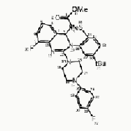 COC(=O)CC1c2cccc(F)c2N=C(N2CCN(c3ccc(F)cc3)CC2)N1c1cc(C(C)(C)C)ccc1SC